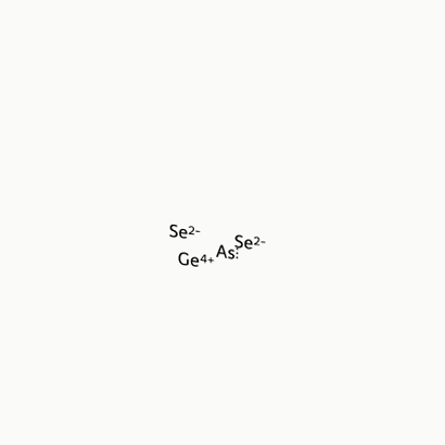 [As].[Ge+4].[Se-2].[Se-2]